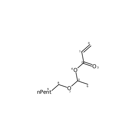 C=CC(=O)OC(C)OCCCCCC